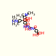 CCN=C1C=CC(=C(c2ccc(NCC)c(C)c2)c2ccc(S(=O)(=O)NCC(O)CNC(=O)c3ccc(B(O)O)cc3)cc2S(=O)(=O)O)C=C1C